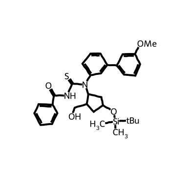 COc1cccc(-c2cccc(N(C(=S)NC(=O)c3ccccc3)C3CC(O[Si](C)(C)C(C)(C)C)CC3CO)c2)c1